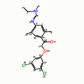 CCN(C)C=Nc1cc(C)c(C(=O)COc2cc(Cl)cc(Cl)c2)cc1C